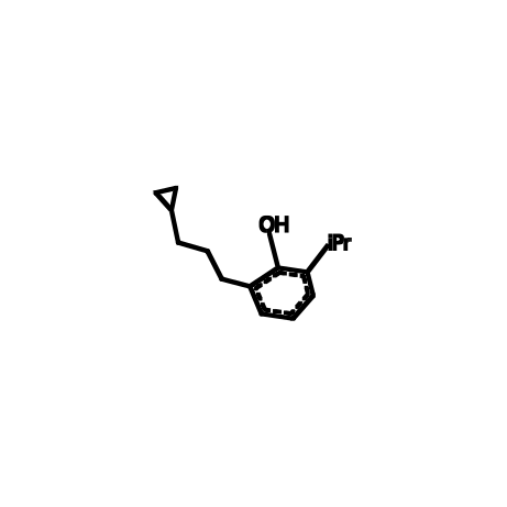 CC(C)c1cccc(CCCC2CC2)c1O